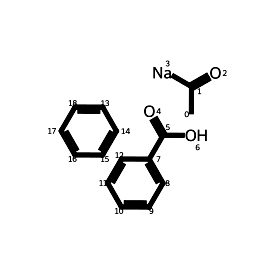 C[C](=O)[Na].O=C(O)c1ccccc1.c1ccccc1